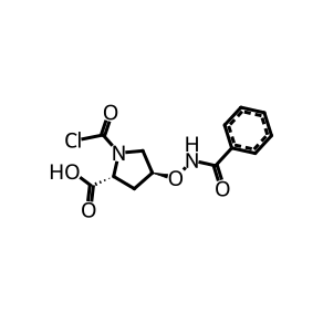 O=C(NO[C@H]1C[C@H](C(=O)O)N(C(=O)Cl)C1)c1ccccc1